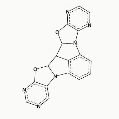 c1cc2c3c(c1)N1c4nccnc4OC1C3C1Oc3ncncc3N21